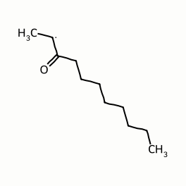 C[CH]C(=O)CCCCCCCC